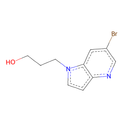 OCCCn1ccc2ncc(Br)cc21